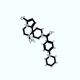 CN1CCn2c(Cl)ccc2C12CCN(C(=O)c1ccc(N3CCCCC3)cc1)CC2